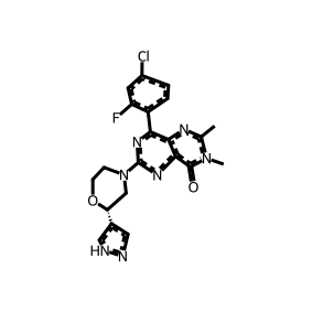 Cc1nc2c(-c3ccc(Cl)cc3F)nc(N3CCO[C@@H](c4cn[nH]c4)C3)nc2c(=O)n1C